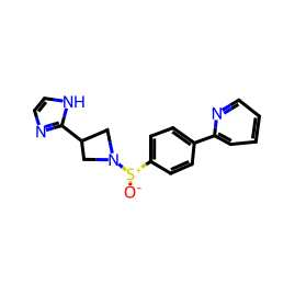 [O-][S+](c1ccc(-c2ccccn2)cc1)N1CC(c2ncc[nH]2)C1